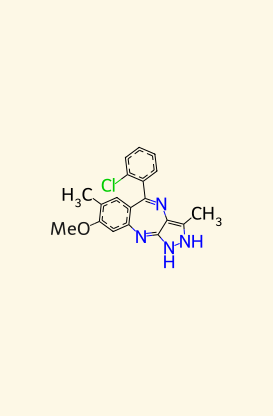 COc1cc2c(cc1C)C(c1ccccc1Cl)=NC1=C(C)NNC1=N2